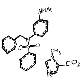 CC(=O)Nc1cccc(N(Cc2ccccc2)S(=O)(=O)c2ccccc2)c1.Cn1cncc1C(=O)O